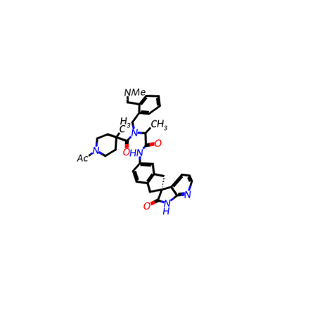 CNCc1ccccc1CN(C(=O)C1(C)CCN(C(C)=O)CC1)C(C)C(=O)Nc1ccc2c(c1)C[C@@]1(C2)C(=O)Nc2ncccc21